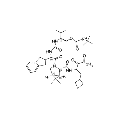 CC(C)[C@@H](COC(=O)NC(C)(C)C)NC(=O)N[C@H](C(=O)N1C[C@H]2[C@@H]([C@H]1C(=O)NC(CC1CCC1)C(=O)C(N)=O)C2(C)C)C1Cc2ccccc2C1